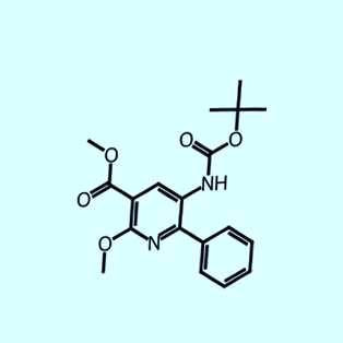 COC(=O)c1cc(NC(=O)OC(C)(C)C)c(-c2ccccc2)nc1OC